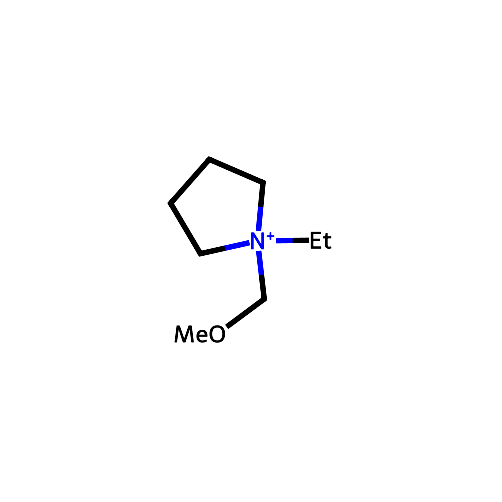 CC[N+]1(COC)CCCC1